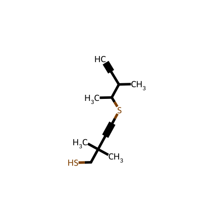 C#CC(C)C(C)SC#CC(C)(C)CS